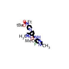 CCN(C(=O)OC(C)(C)C)C1CCN(c2ccc(C(=O)Nc3cn4cc(C)nc4c(F)c3OC)c3nn(C)cc23)CC1